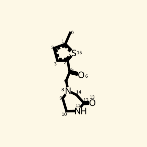 Cc1ccc(C(=O)CN2CCNC(=O)C2)s1